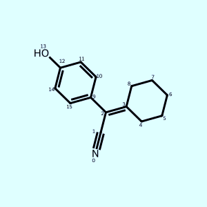 N#CC(=C1CCCCC1)c1ccc(O)cc1